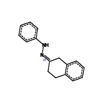 c1ccc(N/N=C2/CCc3ccccc3C2)cc1